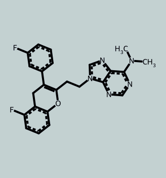 CN(C)c1ncnc2c1ncn2CCC1=C(c2cccc(F)c2)Cc2c(F)cccc2O1